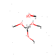 CO.CO[SiH](OC)OC